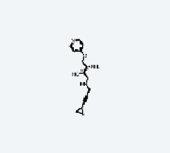 N[C@@H](COc1ccncc1)[C@H](O)CNCC#CC1CC1